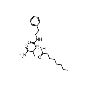 CCCCCCCC(=O)N[C@@H](C(=O)NCCc1ccccc1)C(C)C(N)=O